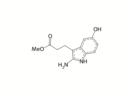 COC(=O)CCc1c(N)[nH]c2ccc(O)cc12